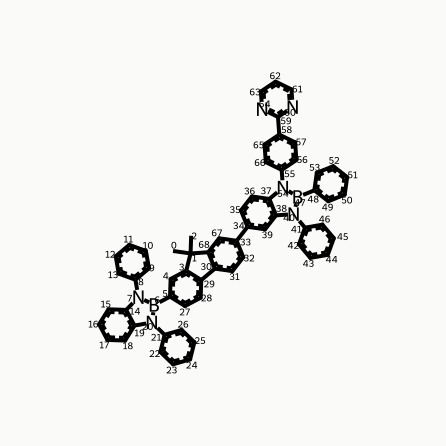 CC1(C)c2cc(B3N(c4ccccc4)c4ccccc4N3c3ccccc3)ccc2-c2ccc(-c3ccc4c(c3)N(c3ccccc3)B(c3ccccc3)N4c3ccc(-c4ncccn4)cc3)cc21